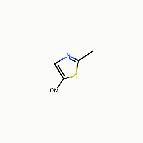 Cc1ncc(N=O)s1